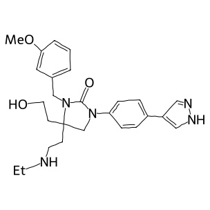 CCNCCC1(CCO)CN(c2ccc(-c3cn[nH]c3)cc2)C(=O)N1Cc1cccc(OC)c1